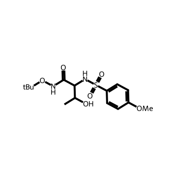 COc1ccc(S(=O)(=O)NC(C(=O)NOC(C)(C)C)C(C)O)cc1